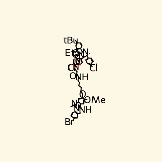 CCOc1cc(C(C)(C)C)ccc1C1=N[C@@](C)(c2ccc(Cl)cc2)[C@@](C)(c2ccc(Cl)cc2)N1C(=O)N1CCN(CCC(=O)NCCCCCOc2cc3nc(C)nc(N[C@H](C)c4cccc(Br)c4)c3cc2OC)CC1